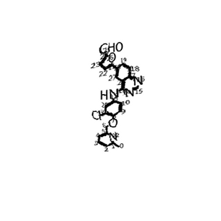 Cc1cccc(COc2ccc(Nc3ncnc4ccc(-c5ccc(C=O)o5)cc34)cc2Cl)n1